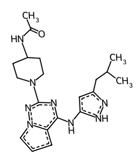 CC(=O)NC1CCN(c2nc(Nc3cc(CC(C)C)n[nH]3)c3cccn3n2)CC1